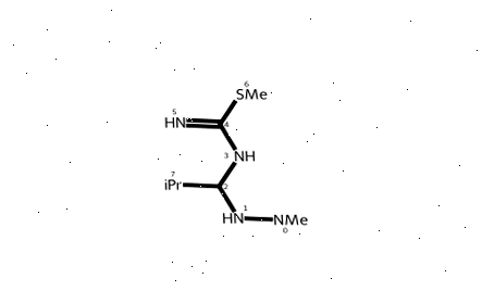 CNNC(NC(=N)SC)C(C)C